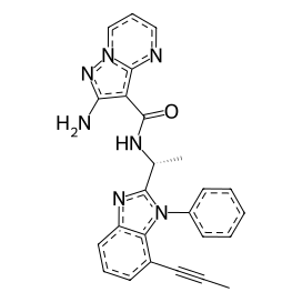 CC#Cc1cccc2nc([C@@H](C)NC(=O)c3c(N)nn4cccnc34)n(-c3ccccc3)c12